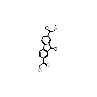 O=C(CCl)c1ccc2c(c1)C(=O)c1cc(C(=O)CCl)ccc1-2